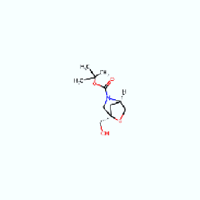 CC(C)(C)OC(=O)N1C[C@@]2(CO)C[C@@H]1CO2